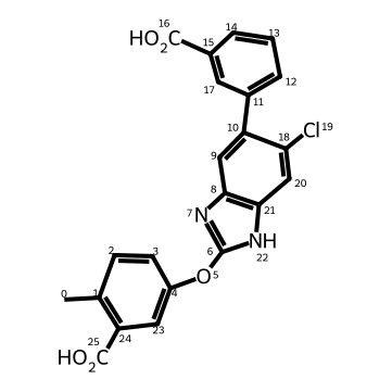 Cc1ccc(Oc2nc3cc(-c4cccc(C(=O)O)c4)c(Cl)cc3[nH]2)cc1C(=O)O